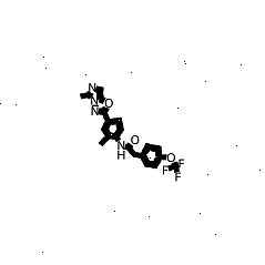 Cc1cc(-c2nn3c(C)ncc3o2)ccc1NC(=O)Cc1ccc(OC(F)(F)F)cc1